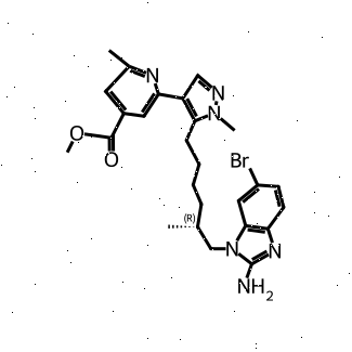 COC(=O)c1cc(C)nc(-c2cnn(C)c2CCCC[C@@H](C)Cn2c(N)nc3ccc(Br)cc32)c1